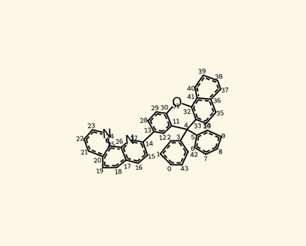 c1ccc(C2(c3ccccc3)c3cc(-c4ccc5ccc6cccnc6c5n4)ccc3Oc3c2ccc2ccccc32)cc1